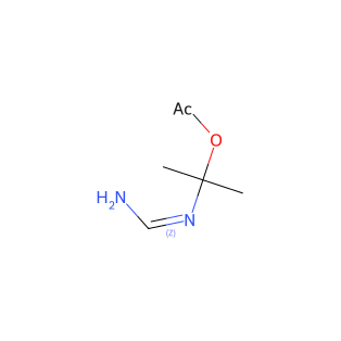 CC(=O)OC(C)(C)/N=C\N